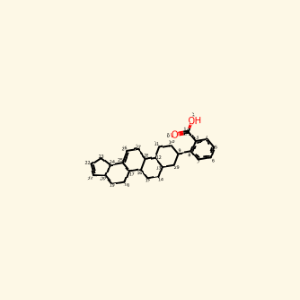 O=C(O)c1ccccc1C1CCC2C(CCC3C4CCC5C=CCC5C4=CCC23)C1